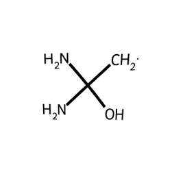 [CH2]C(N)(N)O